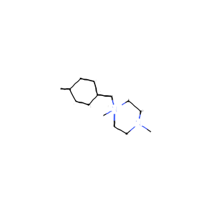 CC1CCC(C[N+]2(C)CCN(C)CC2)CC1